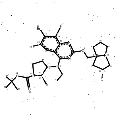 CCN(c1nc(OC[C@@]23CCCN2C[C@H](F)C3)nc2c(F)c(Br)c(I)cc12)[C@@H]1CCN(C(=O)OC(C)(C)C)[C@@H]1C